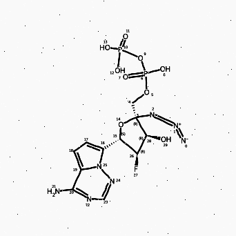 [N-]=[N+]=N[C@]1(COP(=O)(O)OP(=O)(O)O)O[C@@H](c2ccc3c(N)ncnn23)[C@H](F)[C@@H]1O